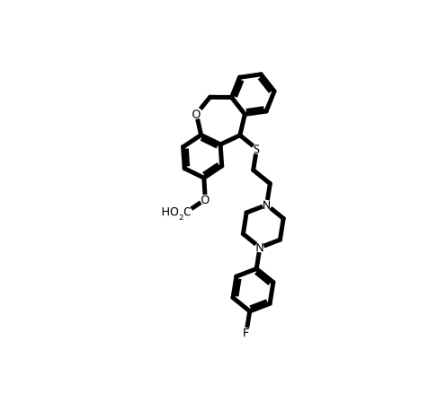 O=C(O)Oc1ccc2c(c1)C(SCCN1CCN(c3ccc(F)cc3)CC1)c1ccccc1CO2